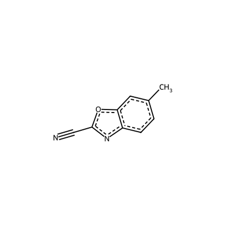 Cc1ccc2nc(C#N)oc2c1